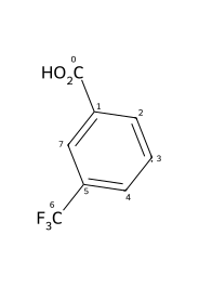 O=C(O)c1c[c]cc(C(F)(F)F)c1